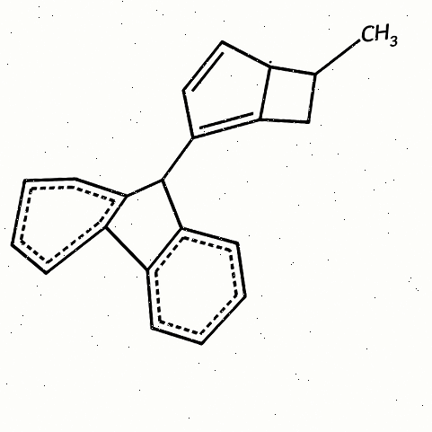 CC1CC2=C(C3c4ccccc4-c4ccccc43)C=C[C]21